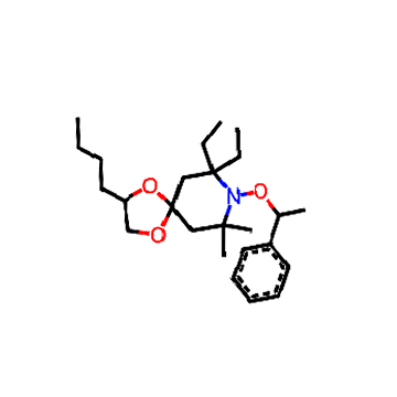 CCCCC1COC2(CC(C)(C)N(OC(C)c3ccccc3)C(CC)(CC)C2)O1